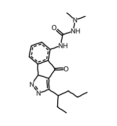 CCCC(CC)C1=C2C(=O)c3c(NC(=O)NN(C)C)cccc3C2N=N1